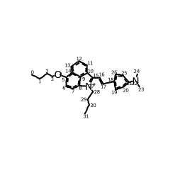 CCCCOc1ccc2c3c(cccc13)C(/C=C/c1ccc(N(C)C)cc1)=[N+]2CCCC